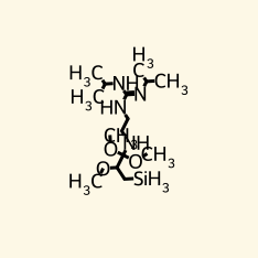 COC(C[SiH3])C(NCCNC(=NC(C)C)NC(C)C)(OC)OC